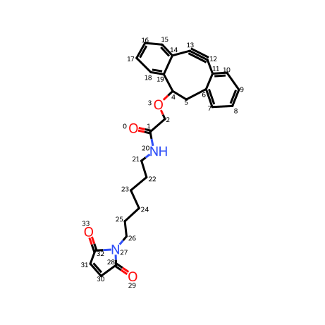 O=C(COC1Cc2ccccc2C#Cc2ccccc21)NCCCCCCN1C(=O)C=CC1=O